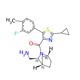 Cc1ccc(-c2sc(C3CC3)nc2C(=O)N2[C@@H]3CC[C@@H](C3)[C@H]2CN)cc1F